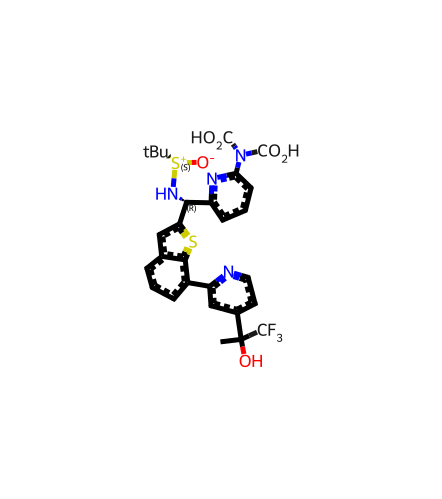 CC(C)(C)[S@@+]([O-])N[C@H](c1cccc(N(C(=O)O)C(=O)O)n1)c1cc2cccc(-c3cc(C(C)(O)C(F)(F)F)ccn3)c2s1